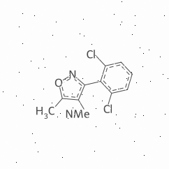 CNc1c(-c2c(Cl)cccc2Cl)noc1C